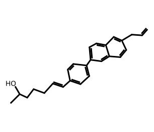 C=CCc1ccc2cc(-c3ccc(C=CCCCC(C)O)cc3)ccc2c1